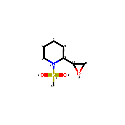 CS(=O)(=O)N1CCCCC1C1CO1